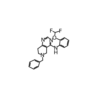 FC(F)Oc1ccccc1Nc1ncnc2c1CN(Cc1ccccc1)CC2